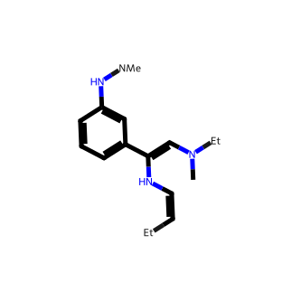 CC/C=C\N/C(=C\N(C)CC)c1cccc(NNC)c1